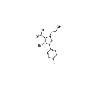 O=C(O)c1c(Br)c(-c2ccc(F)cc2)nn1CCO